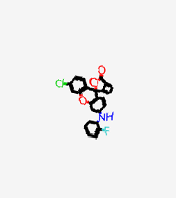 O=C1OC2(c3ccc(Cl)cc3Oc3cc(Nc4ccccc4F)ccc32)c2ccccc21